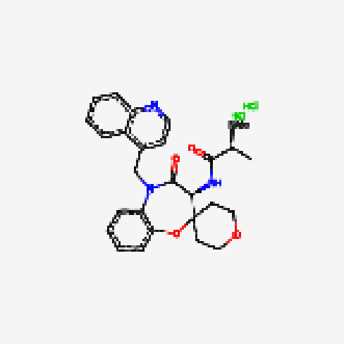 CN[C@@H](C)C(=O)N[C@@H]1C(=O)N(Cc2ccnc3ccccc23)c2ccccc2OC12CCOCC2.Cl.Cl